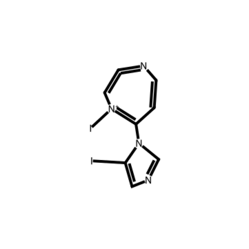 Ic1cncn1C1=[N+](I)C=C=NC=C1